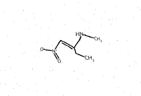 CC/C(=C\[N+](=O)[O-])NC